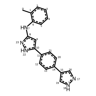 Cc1c[c]ccc1Nc1cc(-c2ccc(-c3cn[nH]c3)cc2)[nH]n1